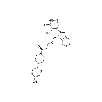 Cc1c(N2Cc3ccccc3[C@H]2COCCC(=O)N2CCN(c3ccc(C#N)cn3)CC2)cn[nH]c1=O